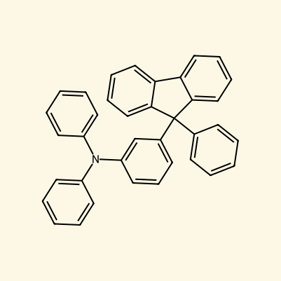 c1ccc(N(c2ccccc2)c2cccc(C3(c4ccccc4)c4ccccc4-c4ccccc43)c2)cc1